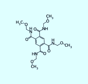 COCNC(=O)c1cc(C(=O)NCOC)c(C(=O)NCOC)cc1C(=O)NCOC